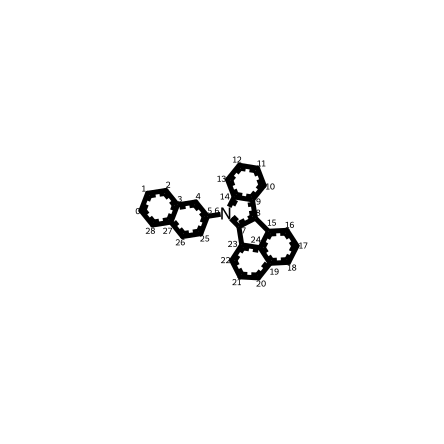 c1ccc2cc(-n3c4c(c5ccccc53)-c3cccc5cccc-4c35)ccc2c1